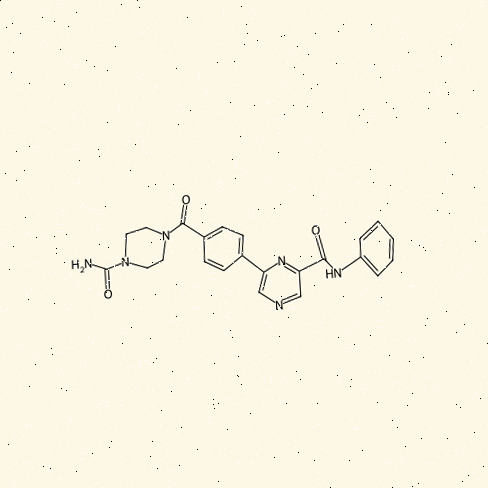 NC(=O)N1CCN(C(=O)c2ccc(-c3cncc(C(=O)Nc4ccccc4)n3)cc2)CC1